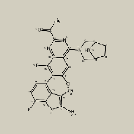 CCCC(=O)c1nc(N2CC3CCC(C2)N3)c2cc(Cl)c(-c3ccc(F)c4sc(N)c(C#N)c34)c(F)c2n1